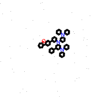 c1ccc(-c2cc(N(c3ccccc3)c3ccccc3)cc(N(c3cccc(-c4ccc5c(c4)oc4ccccc45)c3)c3cccc(N(c4ccccc4)c4ccccc4)c3)c2)cc1